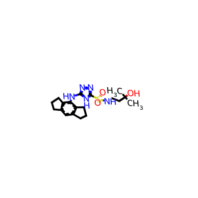 CC(C)(O)CCNS(=O)(=O)c1nnc(Nc2c3c(cc4c2CCC4)CCC3)[nH]1